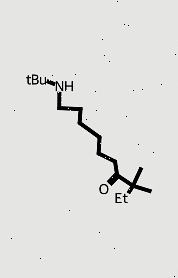 CCC(C)(C)C(=O)CCCCCCNC(C)(C)C